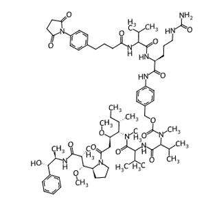 CC[C@H](C)[C@@H]([C@@H](CC(=O)N1CCC[C@H]1[C@H](OC)[C@@H](C)C(=O)N[C@H](C)[C@@H](O)c1ccccc1)OC)N(C)C(=O)C(NC(=O)C(C(C)C)N(C)C(=O)OCc1ccc(NC(=O)[C@H](CCCNC(N)=O)NC(=O)C(NC(=O)CCCc2ccc(N3C(=O)CCC3=O)cc2)C(C)C)cc1)C(C)C